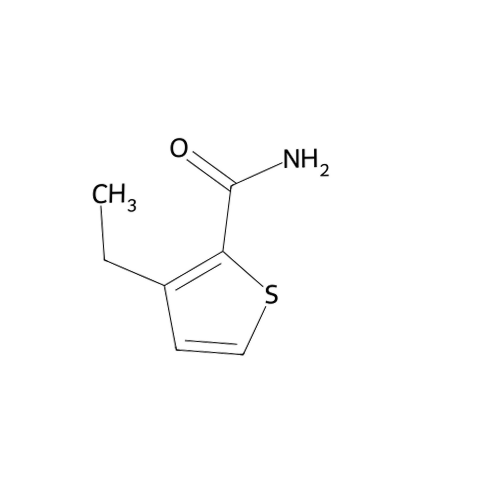 CCc1ccsc1C(N)=O